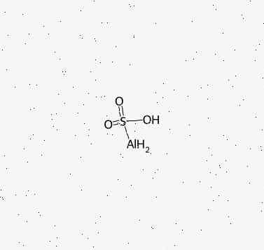 O=[S](=O)(O)[AlH2]